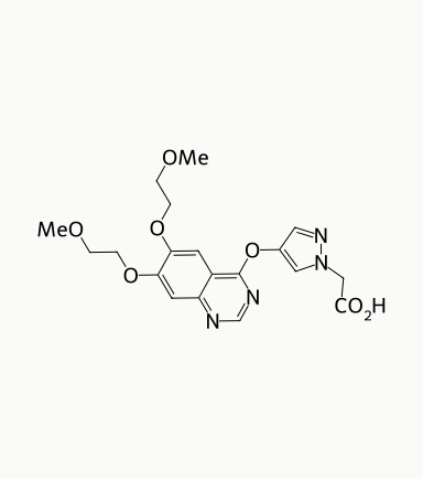 COCCOc1cc2ncnc(Oc3cnn(CC(=O)O)c3)c2cc1OCCOC